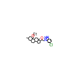 CCOCC12CCC(C)CC1CCC1C3CCC(C(=O)Cn4nnc5ccc(Cl)cc54)C3(C)CCC12